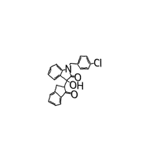 O=C1c2ccccc2CC1C1(O)C(=O)N(Cc2ccc(Cl)cc2)c2ccccc21